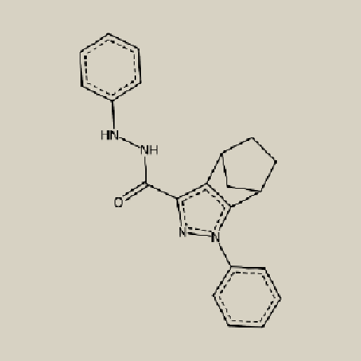 O=C(NNc1ccccc1)c1nn(-c2ccccc2)c2c1C1CCC2C1